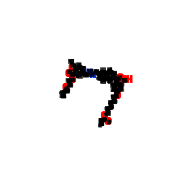 C=CC(=O)OCCCCCCOc1ccc(C(OO)c2ccc3cc(/C=N/N=C/c4ccc(OC)c(C(=O)OCCOCCC)c4)ccc3c2)cc1